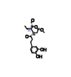 C/C=C1\[C@H](C=O)O[C@H](OC)C[C@@H]1C(=O)CCc1ccc(O)c(O)c1